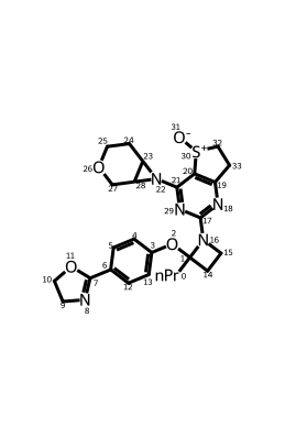 CCCC1(Oc2ccc(C3=NCCO3)cc2)CCN1c1nc2c(c(N3C4CCOCC43)n1)[S+]([O-])CC2